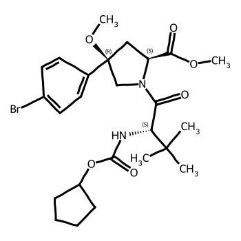 COC(=O)[C@@H]1C[C@@](OC)(c2ccc(Br)cc2)CN1C(=O)[C@@H](NC(=O)OC1CCCC1)C(C)(C)C